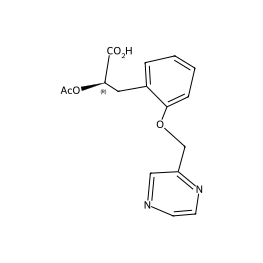 CC(=O)O[C@H](Cc1ccccc1OCc1cnccn1)C(=O)O